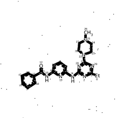 CCc1nc(Nc2cccc(NC(=O)c3ccccc3)n2)nc(N2CCN(C)CC2)n1